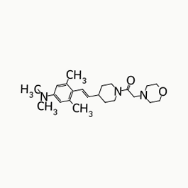 Cc1cc(N(C)C)cc(C)c1/C=C/C1CCN(C(=O)CN2CCOCC2)CC1